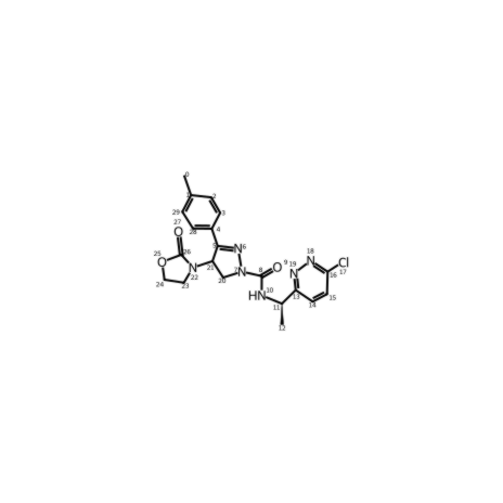 Cc1ccc(C2=NN(C(=O)N[C@H](C)c3ccc(Cl)nn3)CC2N2CCOC2=O)cc1